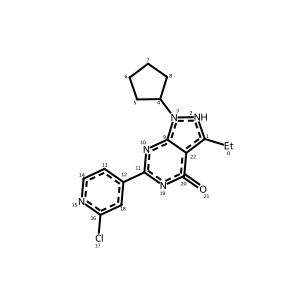 CCc1[nH]n(C2CCCC2)c2nc(-c3ccnc(Cl)c3)nc(=O)c1-2